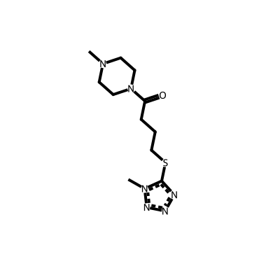 CN1CCN(C(=O)CCCSc2nnnn2C)CC1